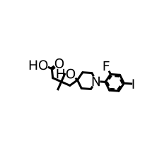 CC(C)(CC(=O)O)CC1(O)CCN(c2ccc(I)cc2F)CC1